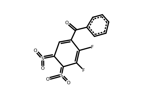 O=C(C1=CC(=S(=O)=O)C(=S(=O)=O)C(F)=C1F)c1ccccc1